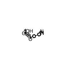 Cn1ncc2cc(-c3ccc(C(=O)N4CCN(C(=O)C5(O)CC5)CC4)cc3)ccc21